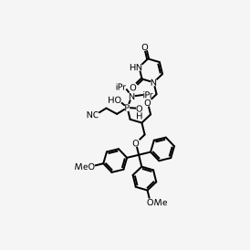 COc1ccc(C(OCC(COCn2ccc(=O)[nH]c2=O)CP(O)(O)(CCC#N)N(C(C)C)C(C)C)(c2ccccc2)c2ccc(OC)cc2)cc1